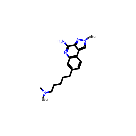 CCCCn1cc2c(n1)c(N)nc1cc(CCCCCN(C)C(C)(C)C)ccc12